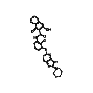 O=C(Nc1cccc(Sc2ccc3nc(N4CCCCC4)[nH]c3n2)c1Cl)c1c(O)nc2ccccn2c1=O